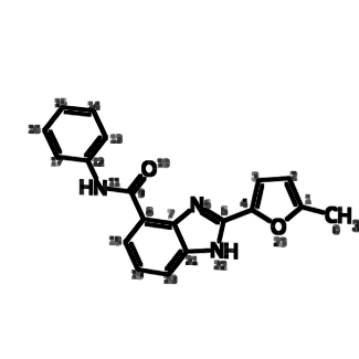 Cc1ccc(-c2nc3c(C(=O)Nc4ccccc4)cccc3[nH]2)o1